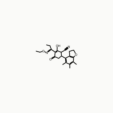 CCON=C(CC)C1=C(O)C(C#N)C(c2c(C)c(C)c(C)c3c2CCO3)CC1=O